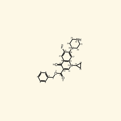 O=C(OCc1ccccc1)c1cn(C2CC2)c2cc(N3CCNCC3)c(F)cc2c1=O